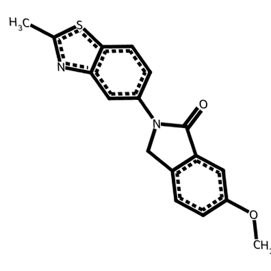 COc1ccc2c(c1)C(=O)N(c1ccc3sc(C)nc3c1)C2